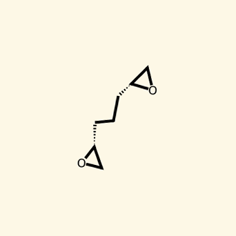 C(C[C@@H]1CO1)C[C@@H]1CO1